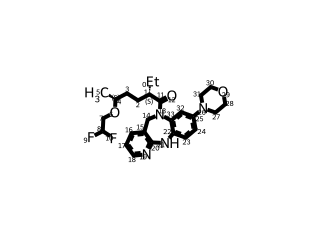 CC[C@@H](CC[C@H](C)OCC(F)F)C(=O)N1Cc2cccnc2Nc2ccc(N3CCOCC3)cc21